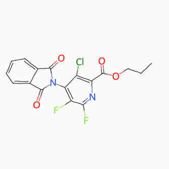 CCCOC(=O)c1nc(F)c(F)c(N2C(=O)c3ccccc3C2=O)c1Cl